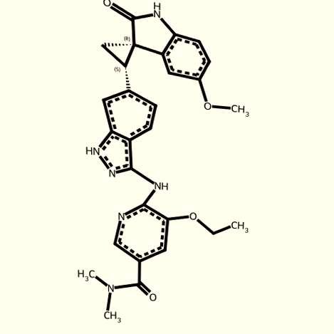 CCOc1cc(C(=O)N(C)C)cnc1Nc1n[nH]c2cc([C@@H]3C[C@@]34C(=O)Nc3ccc(OC)cc34)ccc12